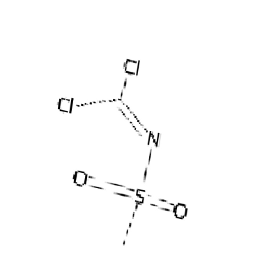 CS(=O)(=O)N=C(Cl)Cl